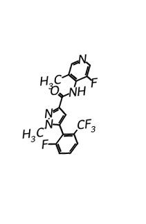 Cc1cncc(F)c1NC(=O)c1cc(-c2c(F)cccc2C(F)(F)F)n(C)n1